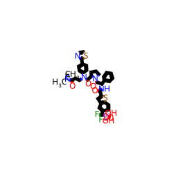 CN(C)C(=O)CCN(C(=O)C1CCCN1C(=O)[C@@H](NC(=O)c1cc2cc(C(F)(F)P(=O)(O)O)ccc2s1)c1ccccc1)c1ccc(-c2nccs2)cc1